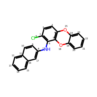 Clc1ccc2c(c1Nc1ccc3ccccc3c1)Oc1ccccc1O2